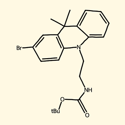 CC(C)(C)OC(=O)NCCN1c2ccccc2C(C)(C)c2cc(Br)ccc21